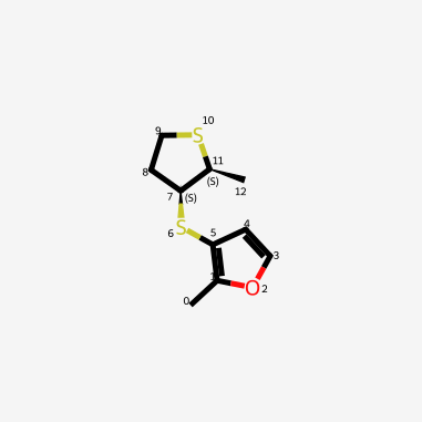 Cc1occc1S[C@H]1CCS[C@H]1C